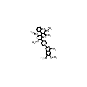 CCOC(=O)C1=C(C(COC)C2CCN(c3nc(N)c4cc(OC)c(OC)cc4n3)CC2)NC(C)=C(C(=O)OC)C1c1ccccc1Cl